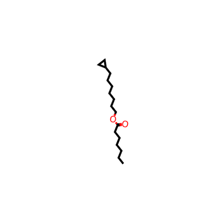 CCCCCCC(=O)OCCCCCCCC1CC1